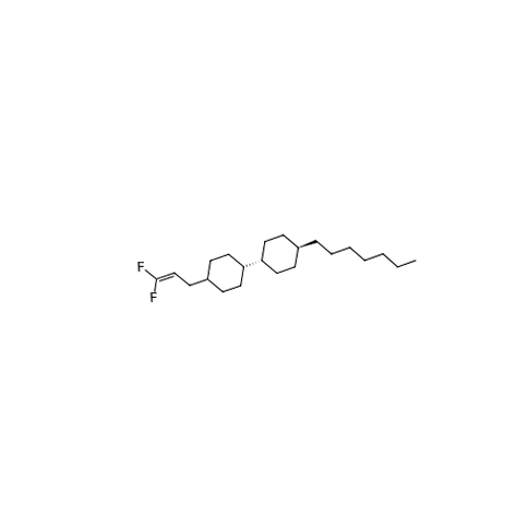 CCCCCCC[C@H]1CC[C@H](C2CCC(CC=C(F)F)CC2)CC1